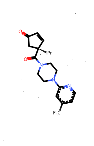 CC(C)[C@]1(C(=O)N2CCN(c3cc(C(F)(F)F)ccn3)CC2)C=CC(=O)C1